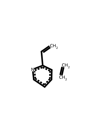 C=C.C=Cc1ccccn1